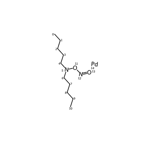 CCCCCN(CCCCC)ON=O.[Pd]